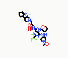 CC(=O)N1CCC(Nc2nc(C(F)(F)F)nc3c(NC[C@H](O)CN4CCc5c([nH]c6ccccc56)C4)nn(C4CCCCO4)c23)CC1